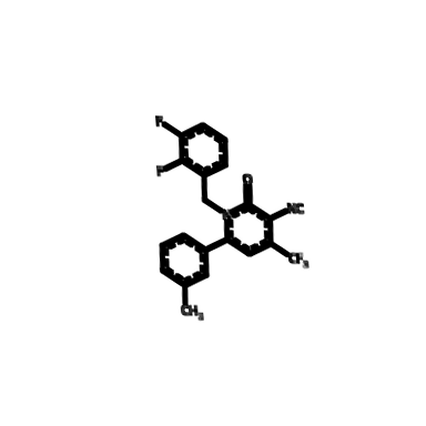 [C-]#[N+]c1c(C(F)(F)F)cc(-c2cccc(C)c2)n(Cc2cccc(F)c2F)c1=O